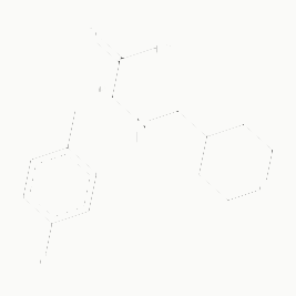 CC(C)C(=O)[C@@H](Cc1ccc(Cl)cc1)NCC1CCOCC1